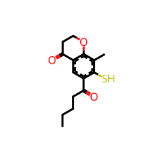 CCCCC(=O)c1cc2c(c(C)c1S)OCCC2=O